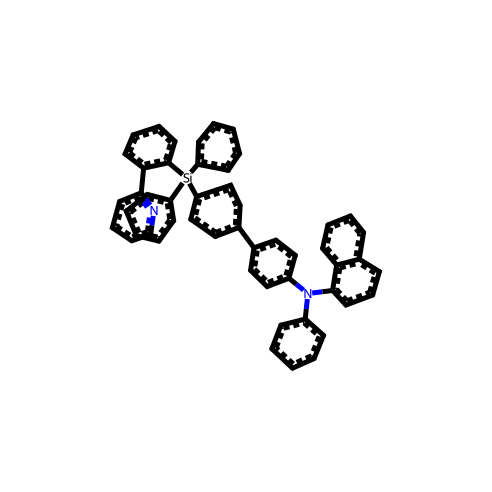 c1ccc(N(c2ccc(-c3ccc([Si](c4ccccc4)(c4ccccc4)c4ccccc4-c4ccccn4)cc3)cc2)c2cccc3ccccc23)cc1